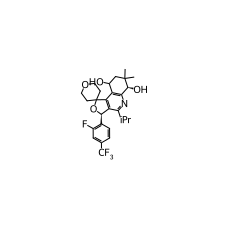 CC(C)c1nc2c(c3c1[C@@H](c1ccc(C(F)(F)F)cc1F)OC31CCOCC1)C(O)CC(C)(C)[C@H]2O